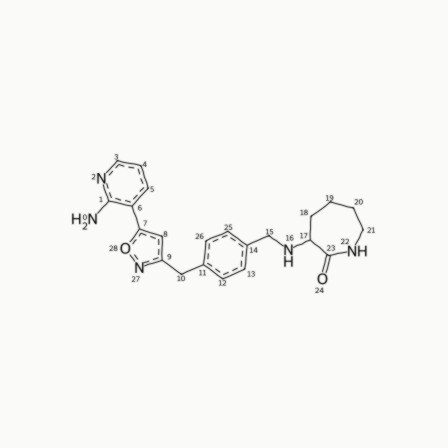 Nc1ncccc1-c1cc(Cc2ccc(CNC3CCCCNC3=O)cc2)no1